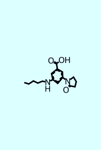 CCCCCNc1cc(C(=O)O)cc(N2CCCC2=O)c1